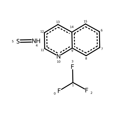 FC(F)F.N=S.c1ccc2ncccc2c1